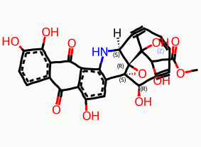 COC(=O)C(O)C(C)(O)[C@@]12O[C@]13c1cc(O)c4c(c1N[C@H]2C#C/C=C\C#C[C@H]3O)C(=O)c1c(ccc(O)c1O)C4=O